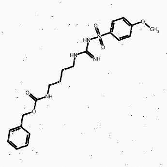 COc1ccc(S(=O)(=O)NC(=N)NCCCCNC(=O)OCc2ccccc2)cc1